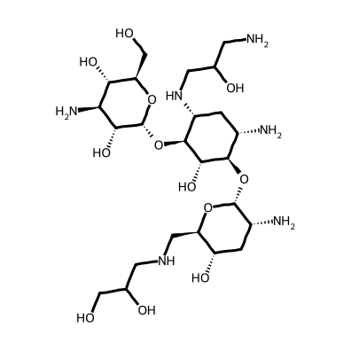 NCC(O)CN[C@@H]1C[C@H](N)[C@@H](O[C@H]2O[C@H](CNCC(O)CO)[C@@H](O)C[C@H]2N)[C@H](O)[C@H]1O[C@H]1O[C@H](CO)[C@@H](O)[C@H](N)[C@H]1O